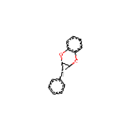 c1ccc([SiH]2C3Oc4ccccc4OC32)cc1